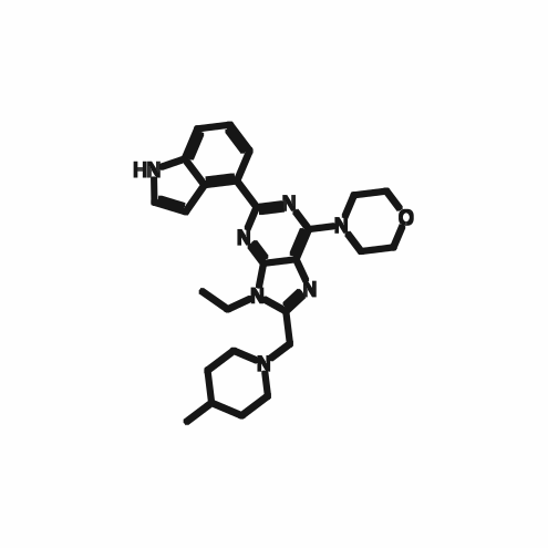 CCn1c(CN2CCC(C)CC2)nc2c(N3CCOCC3)nc(-c3cccc4[nH]ccc34)nc21